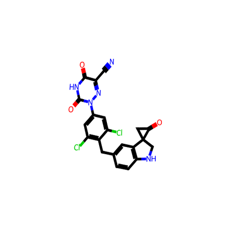 N#Cc1nn(-c2cc(Cl)c(Cc3ccc4c(c3)C3(CN4)CC3=O)c(Cl)c2)c(=O)[nH]c1=O